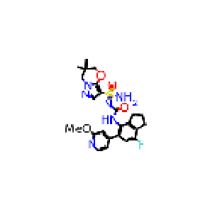 COc1cc(-c2cc(F)c3c(c2NC(=O)N=[S@](N)(=O)c2cnn4c2OCC(C)(C)C4)CCC3)ccn1